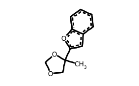 CC1(c2cc3ccccc3o2)COCO1